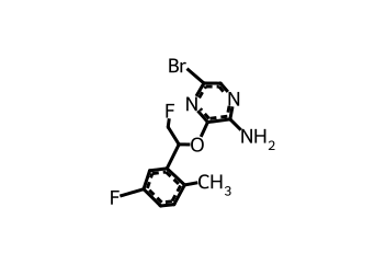 Cc1ccc(F)cc1C(CF)Oc1nc(Br)cnc1N